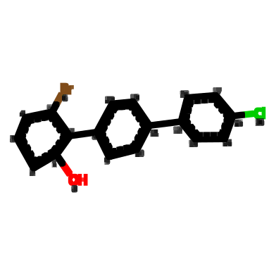 Oc1cccc(Br)c1-c1ccc(-c2ccc(Cl)cc2)cc1